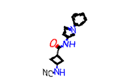 N#CN[C@H]1C[C@@H](C(=O)Nc2ccn(-c3ccccc3)c2)C1